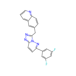 Fc1cc(F)cc(-c2ccc3nnc(Cc4ccc5ncccc5c4)n3n2)c1